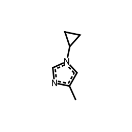 Cc1cn(C2CC2)cn1